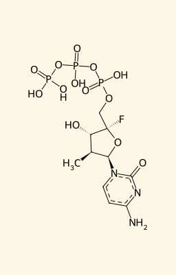 C[C@@H]1[C@H](n2ccc(N)nc2=O)O[C@](F)(COP(=O)(O)OP(=O)(O)OP(=O)(O)O)[C@H]1O